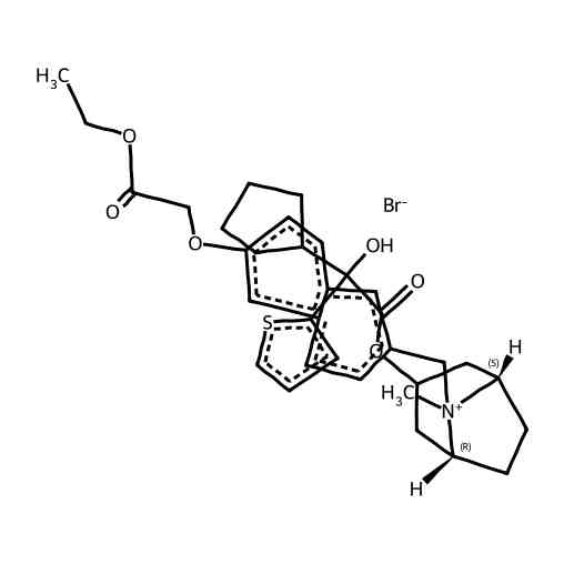 CCOC(=O)COc1ccc2cc(C[N+]3(C)[C@@H]4CC[C@H]3CC(OC(=O)C(O)(c3cccs3)C3CCCC3)C4)ccc2c1.[Br-]